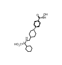 O=C(NO)c1ccc(N2CCC(CN[C@H](C(=O)O)C3CCCCC3)CC2)cc1